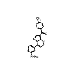 CC(=O)Nc1cccc(-c2ccnc3c(C(=O)c4ccc(C)cc4)cnn23)c1